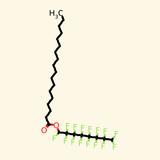 CCCCCCCCCCCCCCCCCC(=O)OC(F)C(F)(F)C(F)(F)C(F)(F)C(F)(F)C(F)(F)C(F)(F)C(F)F